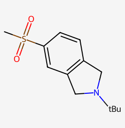 CC(C)(C)N1Cc2ccc(S(C)(=O)=O)cc2C1